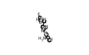 N[C@@H]1c2cccnc2CC12CCN(c1nc3ccc(-c4ccnc5c4OC[C@@H]4C[C@@H](F)CN54)c4ncc1n34)CC2